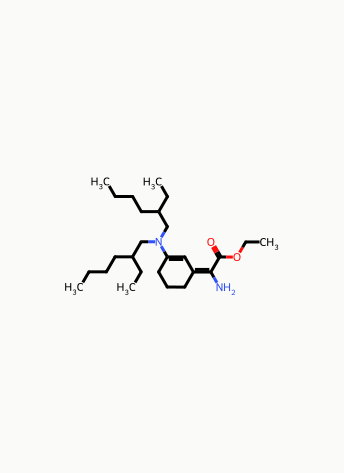 CCCCC(CC)CN(CC(CC)CCCC)C1=C/C(=C(/N)C(=O)OCC)CCC1